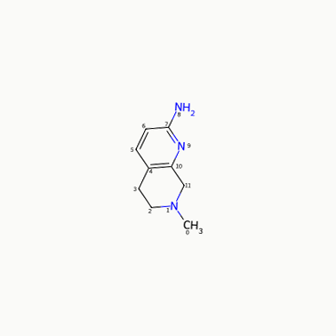 CN1CCc2ccc(N)nc2C1